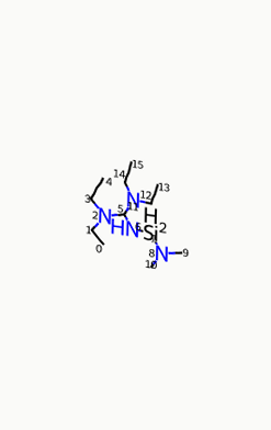 CCN(CC)C(N[SiH2]N(C)C)N(CC)CC